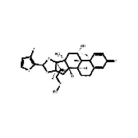 CC(C)(C)OCC(=O)[C@@]12O[C@H](c3sccc3F)O[C@@H]1C[C@H]1[C@@H]3CCC4=CC(=O)C=C[C@]4(C)[C@@]3(F)[C@@H](O)C[C@@]12C